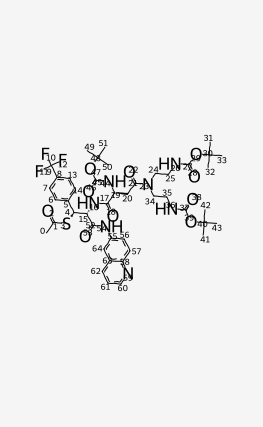 CC(=O)S[C@@H](c1ccc(C(F)(F)F)cc1)[C@H](NC(=O)[C@H](CC(=O)N(CCNC(=O)OC(C)(C)C)CCNC(=O)OC(C)(C)C)NC(=O)OC(C)(C)C)C(=O)Nc1ccc2ncccc2c1